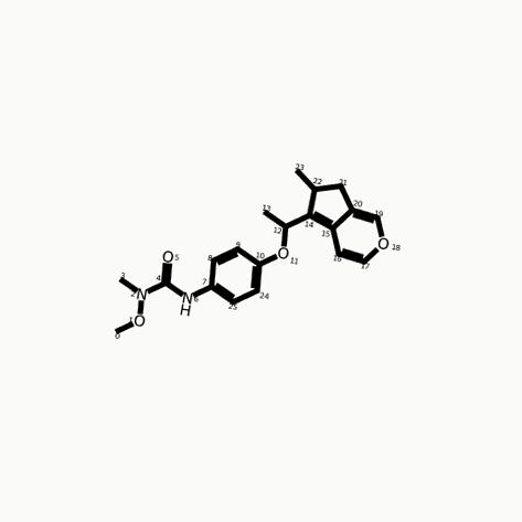 CON(C)C(=O)Nc1ccc(OC(C)C2=C3C=COC=C3CC2C)cc1